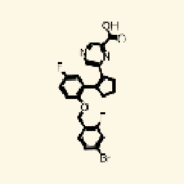 O=C(O)c1cncc(C2=C(c3cc(F)ccc3OCc3ccc(Br)cc3F)CCC2)n1